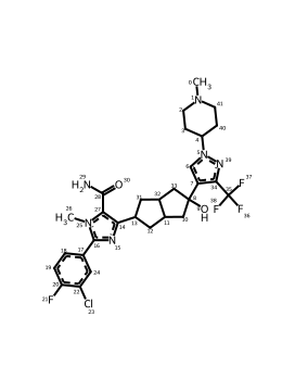 CN1CCC(n2cc(C3(O)CC4CC(c5nc(-c6ccc(F)c(Cl)c6)n(C)c5C(N)=O)CC4C3)c(C(F)(F)F)n2)CC1